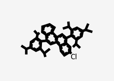 CC(C)c1cc(C(C)C)c(-c2cc3c4ccc(Cl)cc4c(-c4c(C(C)C)cc(C(C)C)cc4C(C)C)cc3c3ccccc23)c(C(C)C)c1